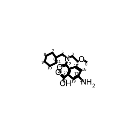 COCCN(CC1CCCCC1)C(=O)c1ccc(N)cc1C(=O)O